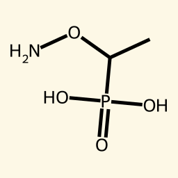 CC(ON)P(=O)(O)O